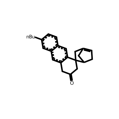 CCCCc1ccc2cc3c(cc2c1)CC(=O)CC31CC2=CCC1C2